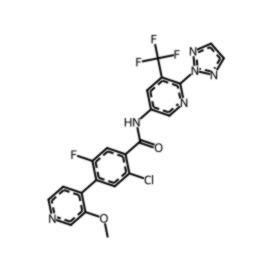 COc1cnccc1-c1cc(Cl)c(C(=O)Nc2cnc(-n3nccn3)c(C(F)(F)F)c2)cc1F